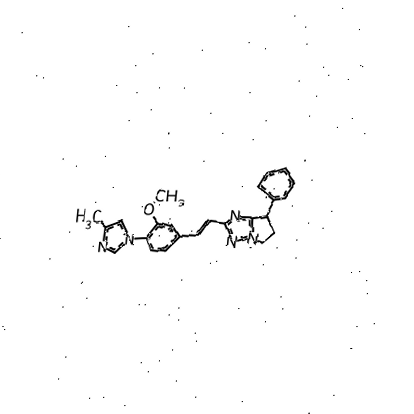 COc1cc(/C=C/c2nc3n(n2)CCC3c2ccccc2)ccc1-n1cnc(C)c1